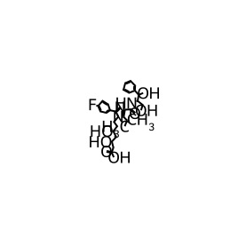 CC(C)c1c(C(=O)NC(CO)C(O)c2ccccc2)nc(-c2ccc(F)cc2)n1CC[C@@H](O)C[C@@H](O)CC(=O)O